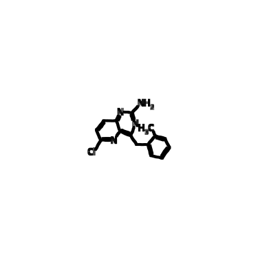 Cc1ccccc1Cc1nc(N)nc2ccc(Cl)nc12